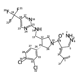 C=C(C)/C=C(\C=N/N)C(=O)N1CC(CNc2ncc(C(F)(F)F)cn2)[C@@H](c2ccc(Cl)c(Cl)c2)C1